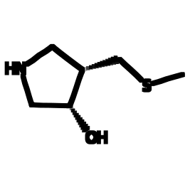 CSC[C@H]1CNC[C@H]1O